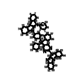 c1ccc(-n2c3ccccc3c3c4ccccc4n(-c4ccc([Si](c5ccccc5)(c5ccccc5)c5cnc(-n6c7ccccc7n7c8ccccc8nc67)nc5)cc4)c32)cc1